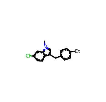 CCc1ccc(Cc2cn(C)c3cc(Cl)ccc23)cc1